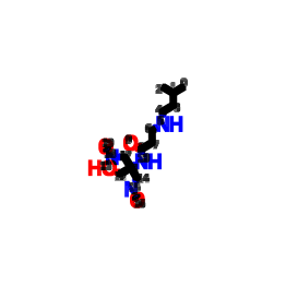 CC(C)CCNCCC(=O)NC(CO)(CN=O)CN=O